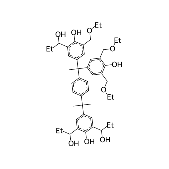 CCOCc1cc(C(C)(c2ccc(C(C)(C)c3cc(C(O)CC)c(O)c(C(O)CC)c3)cc2)c2cc(COCC)c(O)c(C(O)CC)c2)cc(COCC)c1O